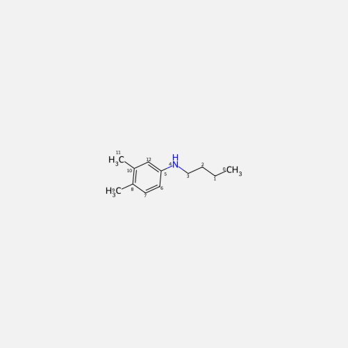 CCCCNc1ccc(C)c(C)c1